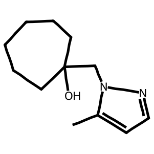 Cc1ccnn1CC1(O)CCCCCC1